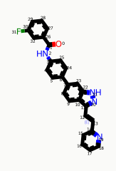 O=C(Nc1ccc(-c2ccc3c(/C=C/c4ccccn4)n[nH]c3c2)cc1)c1cccc(F)c1